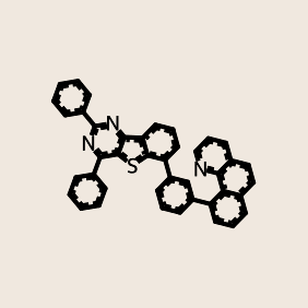 c1ccc(-c2nc(-c3ccccc3)c3sc4c(-c5cccc(-c6cccc7ccc8cccnc8c67)c5)cccc4c3n2)cc1